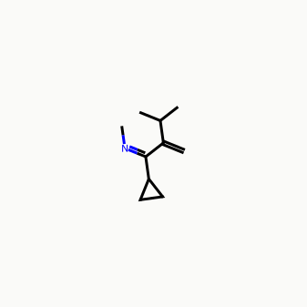 C=C(/C(=N\C)C1CC1)C(C)C